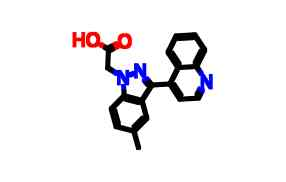 Cc1ccc2c(c1)c(-c1ccnc3ccccc13)nn2CC(=O)O